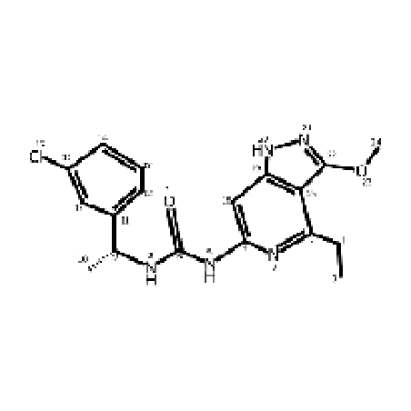 CCc1nc(NC(=O)N[C@H](C)c2cccc(Cl)c2)cc2[nH]nc(OC)c12